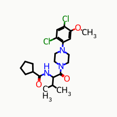 COc1cc(N2CCN(C(=O)C(NC(=O)C3CCCC3)C(C)C)CC2)c(Cl)cc1Cl